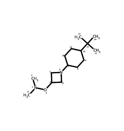 CN(C)OC1CN(C2CCC(C(C)(C)C)CC2)C1